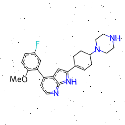 COc1ccc(F)cc1-c1ccnc2[nH]c(C3=CCC(N4CCNCC4)CC3)cc12